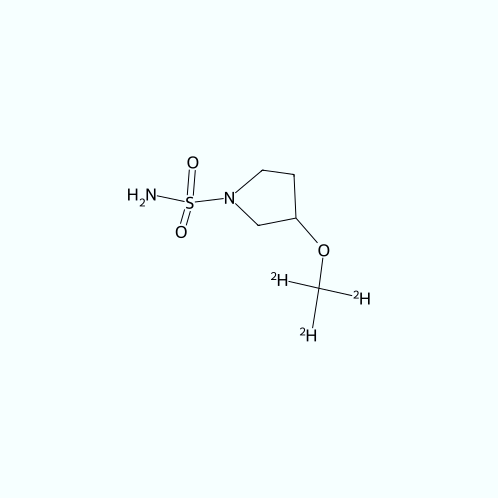 [2H]C([2H])([2H])OC1CCN(S(N)(=O)=O)C1